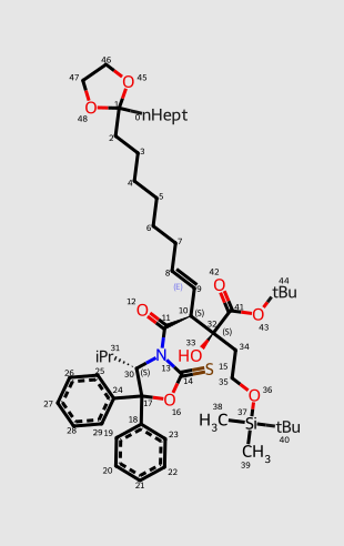 CCCCCCCC1(CCCCCC/C=C/[C@H](C(=O)N2C(=S)OC(c3ccccc3)(c3ccccc3)[C@@H]2C(C)C)[C@@](O)(CCO[Si](C)(C)C(C)(C)C)C(=O)OC(C)(C)C)OCCO1